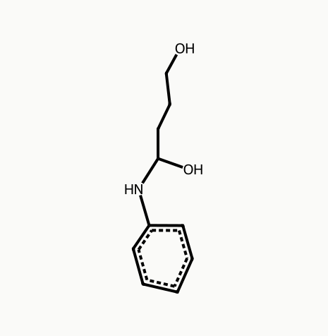 OCCCC(O)Nc1ccccc1